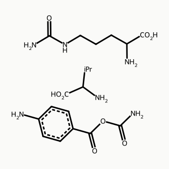 CC(C)C(N)C(=O)O.NC(=O)NCCCC(N)C(=O)O.NC(=O)OC(=O)c1ccc(N)cc1